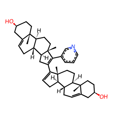 C[C@@]12CC[C@@H]3[C@H](CC=C4C[C@H](O)CC[C@]43C)[C@H]1CC=C2C1=C(c2cccnc2)[C@@]2(C)CC[C@H]3[C@@H](CC=C4C[C@@H](O)CC[C@@]43C)[C@@H]2C1